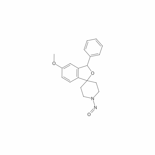 COc1ccc2c(c1)C(c1ccccc1)OC21CCN(N=O)CC1